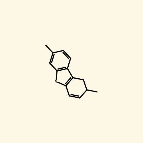 Cc1ccc2c3c(sc2c1)C=CC(C)C3